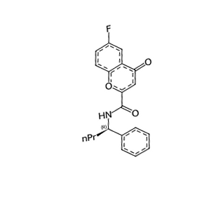 CCC[C@@H](NC(=O)c1cc(=O)c2cc(F)ccc2o1)c1ccccc1